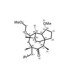 COCOC1C[C@@](C)(SC(C)C)C(=O)[C@H](C)C23CC[C@@H](C)[C@]1(C)C2[C@H](OC)CC3